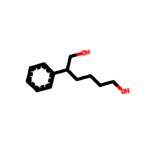 OCCCCC(CO)c1ccccc1